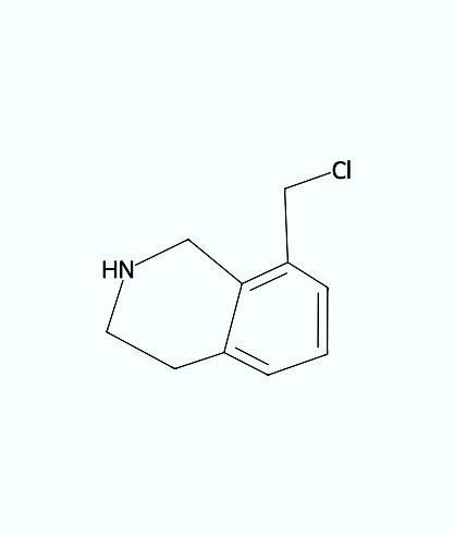 ClCc1cccc2c1CNCC2